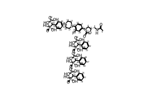 CC(=O)NC[C@H]1CN(c2ccc(N3CCNCC3)c(F)c2)C(=O)O1.O=P(O)(O)C(c1ccccc1)P(=O)(O)O.O=P(O)(O)C(c1ccccc1)P(=O)(O)O.O=P(O)(O)C(c1ccccc1)P(=O)(O)O.O=P(O)(O)C(c1ccccc1)P(=O)(O)O